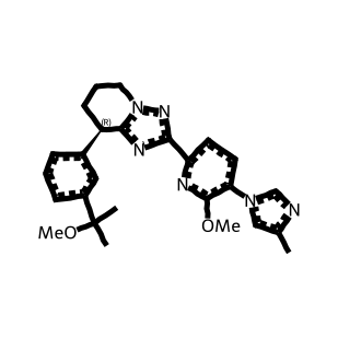 COc1nc(-c2nc3n(n2)CCC[C@@H]3c2cccc(C(C)(C)OC)c2)ccc1-n1cnc(C)c1